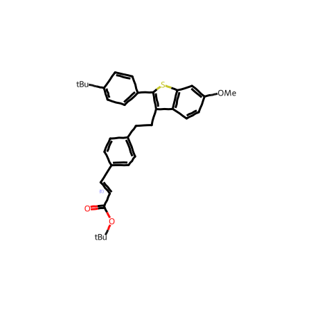 COc1ccc2c(CCc3ccc(/C=C/C(=O)OC(C)(C)C)cc3)c(-c3ccc(C(C)(C)C)cc3)sc2c1